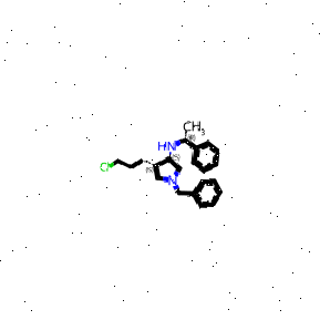 C[C@@H](N[C@@H]1CN(Cc2ccccc2)C[C@@H]1CCCCl)c1ccccc1